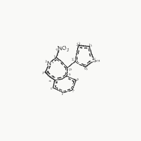 O=[N+]([O-])c1ncc2ccccc2c1-c1ccsc1